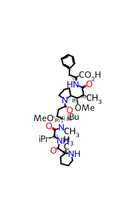 CC[C@H](C)[C@@H]([C@@H](CC(=O)N1CCCC1[C@H](OC)[C@@H](C)C(=O)N[C@@H](Cc1ccccc1)C(=O)O)OC)N(C)C(=O)[C@@H](NC(=O)[C@@]1(C)CCCCN1)C(C)C